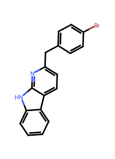 Brc1ccc(Cc2ccc3c(n2)[nH]c2ccccc23)cc1